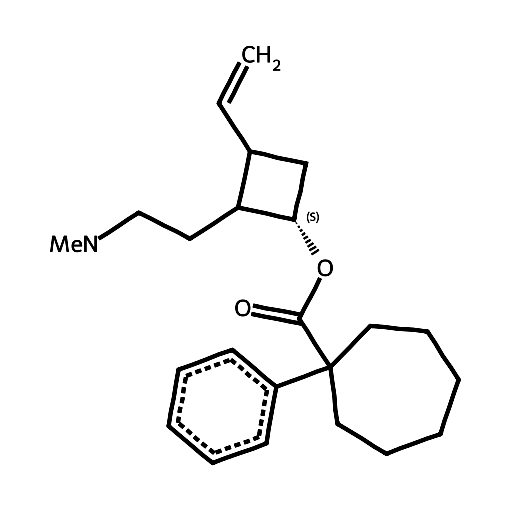 C=CC1C[C@H](OC(=O)C2(c3ccccc3)CCCCCC2)C1CCNC